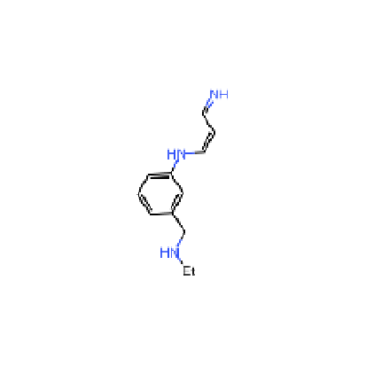 CCNCc1cccc(N/C=C\C=N)c1